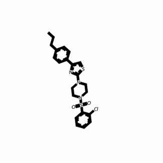 CCCc1ccc(-c2csc(N3CCN(S(=O)(=O)c4ccccc4Cl)CC3)n2)cc1